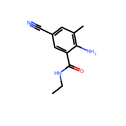 CCNC(=O)c1cc(C#N)cc(C)c1N